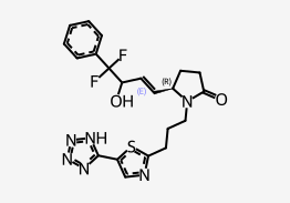 O=C1CC[C@H](/C=C/C(O)C(F)(F)c2ccccc2)N1CCCc1ncc(-c2nnn[nH]2)s1